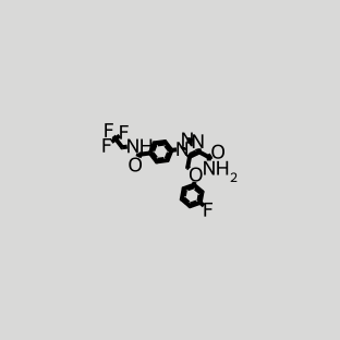 NC(=O)c1nnn(-c2ccc(C(=O)NCC(F)(F)F)cc2)c1COc1cccc(F)c1